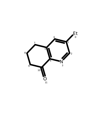 CCc1cnc2c(c1)CCCC2=O